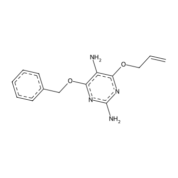 C=CCOc1nc(N)nc(OCc2ccccc2)c1N